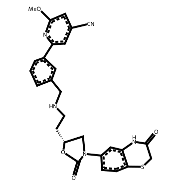 COc1cc(C#N)cc(-c2cccc(CNCC[C@@H]3CN(c4ccc5c(c4)NC(=O)CS5)C(=O)O3)c2)n1